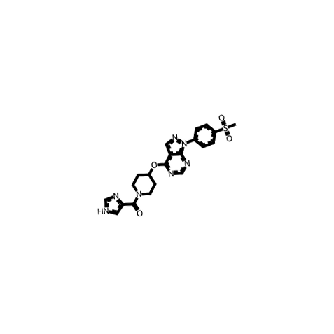 CS(=O)(=O)c1ccc(-n2ncc3c(OC4CCN(C(=O)c5c[nH]cn5)CC4)ncnc32)cc1